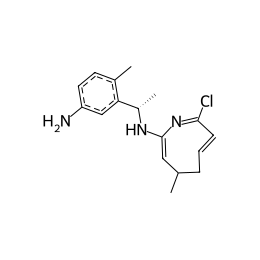 Cc1ccc(N)cc1[C@H](C)NC1=C/C(C)C/C=C/C(Cl)=N\1